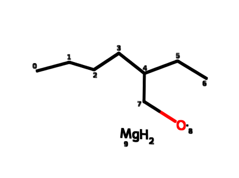 CCCCC(CC)C[O].[MgH2]